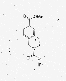 COC(=O)C1C=C2CCN(C(=O)OC(C)C)CC2=CC1